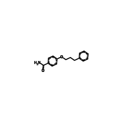 NC(=O)c1ccc(OCCCc2ccccc2)cc1